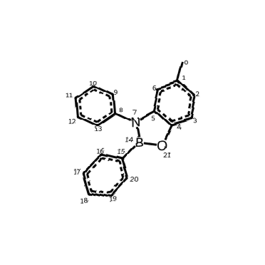 Cc1ccc2c(c1)N(c1ccccc1)B(c1ccccc1)O2